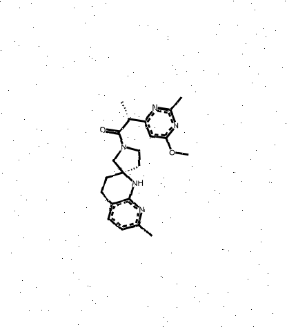 COc1cc([C@@H](C)C(=O)N2CC[C@]3(CCc4ccc(C)nc4N3)C2)nc(C)n1